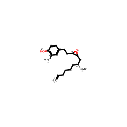 C=CCCCC[C@H](CC1OC1CCc1ccc(O)c(OC)c1)OC